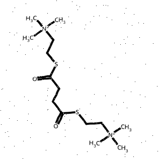 C[N+](C)(C)CCSC(=O)CCC(=O)SCC[N+](C)(C)C